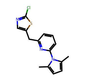 Cc1ccc(C)n1-c1cccc(Cc2cnc(Cl)s2)n1